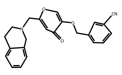 N#Cc1cccc(COc2coc(CN3CCc4ccccc4C3)cc2=O)c1